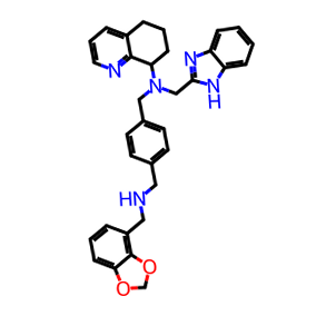 c1cnc2c(c1)CCCC2N(Cc1ccc(CNCc2cccc3c2OCO3)cc1)Cc1nc2ccccc2[nH]1